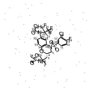 CC(C)(C[C@H]1CN(S(=O)(=O)c2ccc(F)c(Cl)c2)c2cc(N(C(=O)O)C(C)(C)C(F)(F)F)ccc2O1)NS(C)(=O)=O